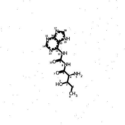 CCC(O)[C@H](N)C(=O)NC(=O)Nc1n[c]nc2nc[nH]c12